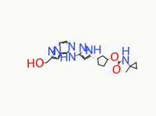 CC1(NC(=O)O[C@@H]2CC[C@H](c3cc(Nc4nccn5nc(CO)cc45)n[nH]3)C2)CC1